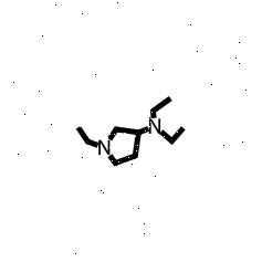 CCN1CCC(N(CC)CC)C1